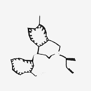 C=CC(=O)N1Cc2cc(Br)ccc2[C@H](c2ccccc2OC)C1